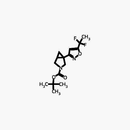 CC(C)(C)OC(=O)N1CC2CC2(c2cc(C(C)(F)F)on2)C1